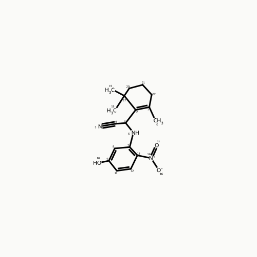 CC1=C(C(C#N)Nc2cc(O)ccc2[N+](=O)[O-])C(C)(C)CCC1